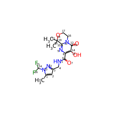 Cc1cc(CNC(=O)c2nc3n(c(=O)c2O)CCOC3(C)C)nn1C(F)F